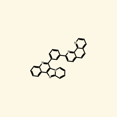 c1cc(-c2ccc3ccc4cccnc4c3n2)cc(-c2nc3ccccc3c3nc4ccccn4c23)c1